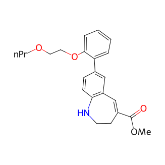 CCCOCCOc1ccccc1-c1ccc2c(c1)C=C(C(=O)OC)CCN2